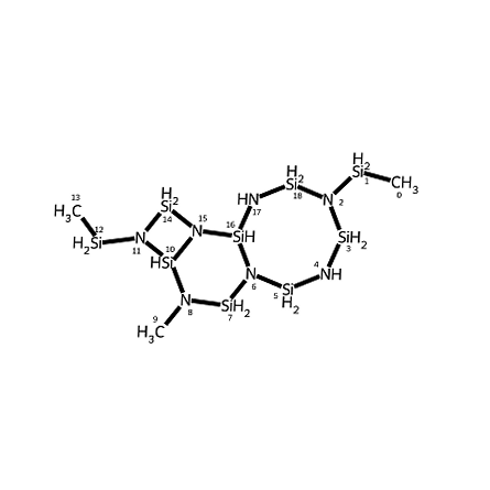 C[SiH2]N1[SiH2]N[SiH2]N2[SiH2]N(C)[SiH]3N([SiH2]C)[SiH2]N3[SiH]2N[SiH2]1